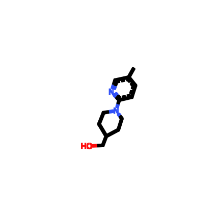 Cc1ccc(N2CCC(CO)CC2)nc1